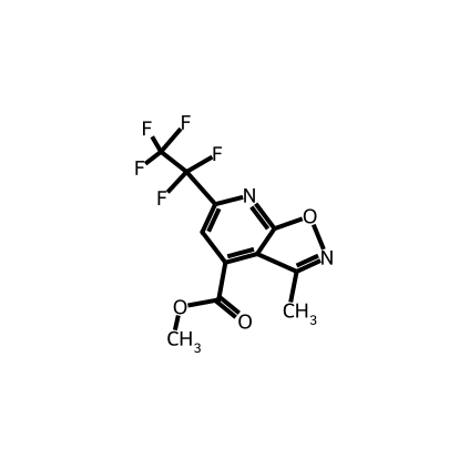 COC(=O)c1cc(C(F)(F)C(F)(F)F)nc2onc(C)c12